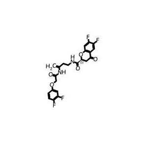 C=C(CCNC(=O)[C@@H]1CC(=O)c2cc(F)c(F)cc2O1)NC(=O)COc1ccc(F)c(F)c1